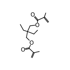 C=C(C)C(=O)OCC(CC)(CC)COC(=O)C(=C)C